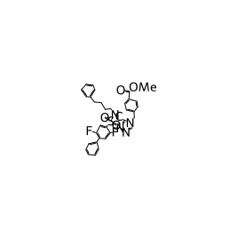 COC(=O)c1ccc(Cn2cnnc2CN(CCCCc2ccccc2)S(=O)(=O)c2cc(F)c(-c3ccccc3)cc2F)cc1